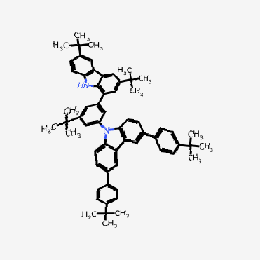 CC(C)(C)c1ccc(-c2ccc3c(c2)c2cc(-c4ccc(C(C)(C)C)cc4)ccc2n3-c2cc(-c3cc(C(C)(C)C)cc4c3[nH]c3ccc(C(C)(C)C)cc34)cc(C(C)(C)C)c2)cc1